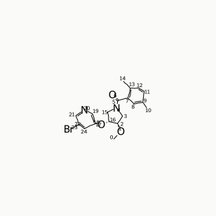 CO[C@@H]1CN(C(=O)c2cc(C)ccc2C)C[C@H]1Oc1cncc(Br)c1